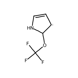 FC(F)(F)OC1[C]C=CN1